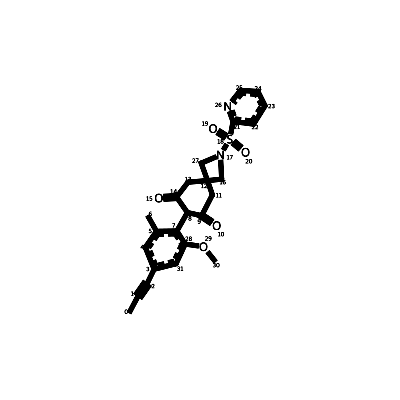 CC#Cc1cc(C)c(C2C(=O)CC3(CC2=O)CN(S(=O)(=O)c2ccccn2)C3)c(OC)c1